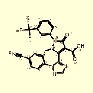 Cn1c(-c2ncnn2-c2ccc(C#N)cc2)c(C(=O)O)c(=O)n1-c1cccc(C(F)(F)F)c1